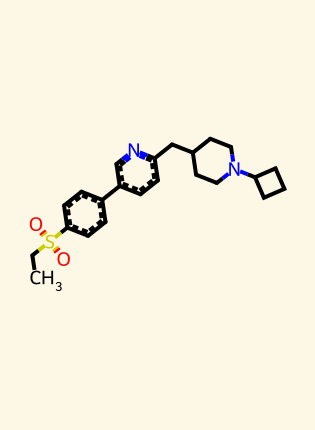 CCS(=O)(=O)c1ccc(-c2ccc(CC3CCN(C4CCC4)CC3)nc2)cc1